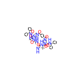 CN[C@@H](C)C(=O)N[C@H](C(=O)N1CCN(C(=O)c2ccc(C(=O)N3CCN(C(=O)[C@@H](NC(=O)[C@H](C)NC)C(C)(C)C)[C@H](C(=O)NC(c4ccccc4)c4ccccc4)C3)cc2)C[C@H]1C(=O)NC(c1ccccc1)c1ccccc1)C(C)(C)C